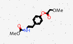 COCC(=O)Oc1ccc(C=CNC(=O)OC)cc1